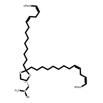 CCCCC/C=C\C/C=C\CCCCCCCCC1(CCCCCCCC/C=C\C/C=C\CCCCC)OC[C@@H](CN(C)C(C)C)O1